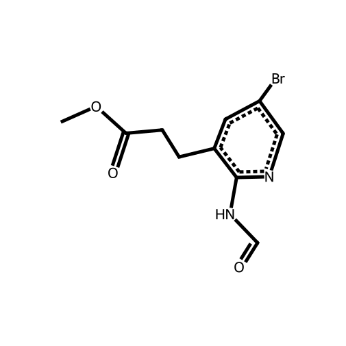 COC(=O)CCc1cc(Br)cnc1NC=O